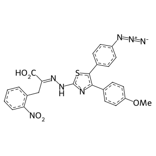 COc1ccc(-c2nc(N/N=C(\Cc3ccccc3[N+](=O)[O-])C(=O)O)sc2-c2ccc(N=[N+]=[N-])cc2)cc1